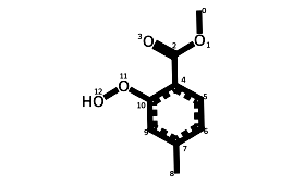 COC(=O)c1ccc(C)cc1OO